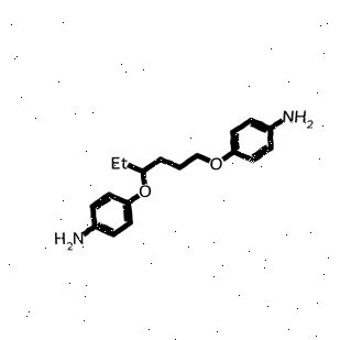 CCC(CCCOc1ccc(N)cc1)Oc1ccc(N)cc1